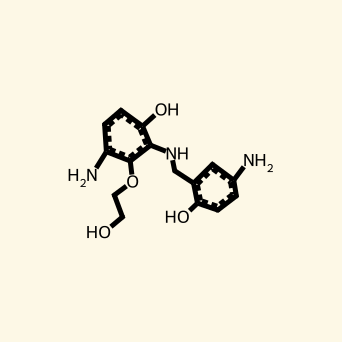 Nc1ccc(O)c(CNc2c(O)ccc(N)c2OCCO)c1